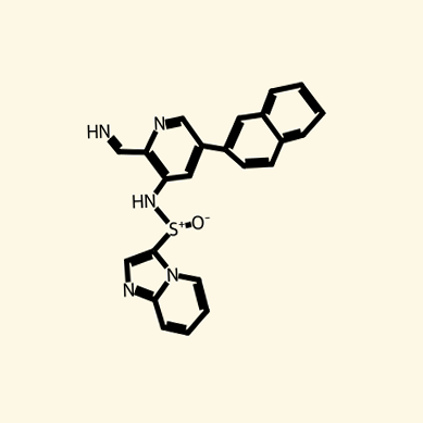 N=Cc1ncc(-c2ccc3ccccc3c2)cc1N[S+]([O-])c1cnc2ccccn12